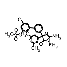 Cc1cc(C2(c3cccc(-c4cc(Cl)cc(OS(C)(=O)=O)c4)c3)N=C(N)N(C)C2=O)cc(C)n1